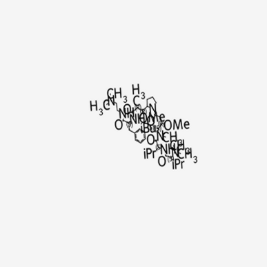 CC[C@H](C)[C@@H]([C@@H](CC(=O)N1CCCC1[C@H](OC)[C@@H](C)C(=O)N[C@@H](Cc1ccccc1)C(=O)NCCN(C)C)OC)N(C)C(=O)[C@@H](NC(=O)[C@H](C(C)C)N(C)C)C(C)C